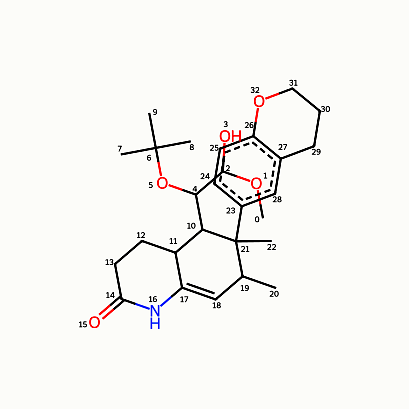 COC(O)C(OC(C)(C)C)C1C2CCC(=O)NC2=CC(C)C1(C)c1ccc2c(c1)CCCO2